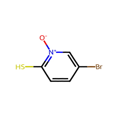 [O-][n+]1cc(Br)ccc1S